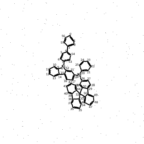 c1ccc(-c2ccc(-n3c4ccccc4c4ccc(N(c5ccccc5)c5ccc6c(c5)C5(c7ccccc7-c7ccccc75)c5ccccc5-6)cc43)cc2)cc1